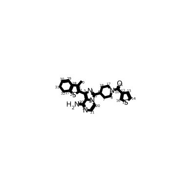 Cc1c(-c2nc(C3CCN(C(=O)c4ccsc4)CC3)n3ccnc(N)c23)sc2c1C=CCC2